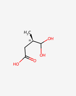 C[C@H](CC(=O)O)C(O)O